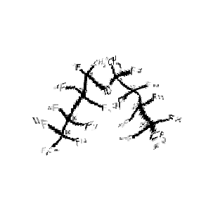 CC(F)(OC(C)(F)C(F)(F)C(F)(F)C(F)(F)C(F)(F)F)C(F)(F)C(F)(F)C(F)(F)C(F)(F)F